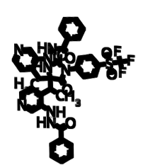 CC(c1ccncc1NNC(=O)c1ccccc1)C1(C(C)c2ccncc2NNC(=O)c2ccccc2)NC(=O)N(c2ccc(S(=O)(=O)C(F)(F)F)cc2)C1=O